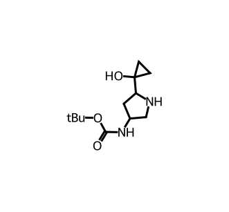 CC(C)(C)OC(=O)NC1CNC(C2(O)CC2)C1